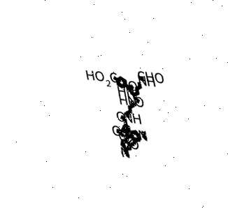 CN(C)c1ccc2c(c1)Oc1cc(N(C)C)ccc1C21OC(=O)c2cc(C(=O)NCCCCNC(=O)C(CCCCNC=O)NC(=O)c3ccc(C(=O)O)cc3)ccc21